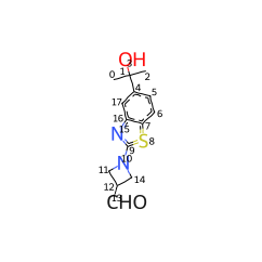 CC(C)(O)c1ccc2sc(N3CC(C=O)C3)nc2c1